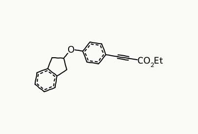 CCOC(=O)C#Cc1ccc(OC2Cc3ccccc3C2)cc1